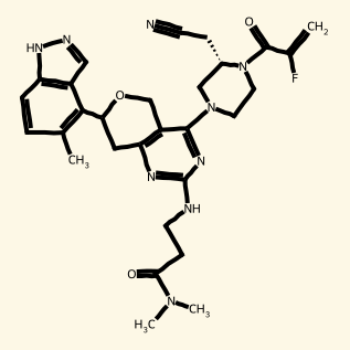 C=C(F)C(=O)N1CCN(c2nc(NCCC(=O)N(C)C)nc3c2COC(c2c(C)ccc4[nH]ncc24)C3)C[C@@H]1CC#N